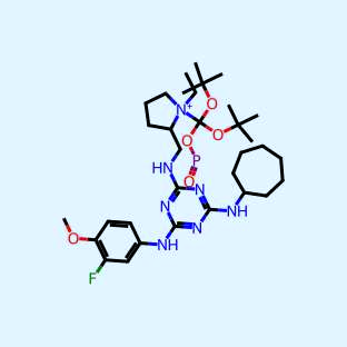 CC[N+]1(C(OP=O)(OC(C)(C)C)OC(C)(C)C)CCCC1CNc1nc(Nc2ccc(OC)c(F)c2)nc(NC2CCCCCC2)n1